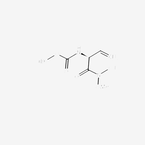 C=C[C@H](NC(=O)OC(C)(C)C)C(=O)N(C)OC